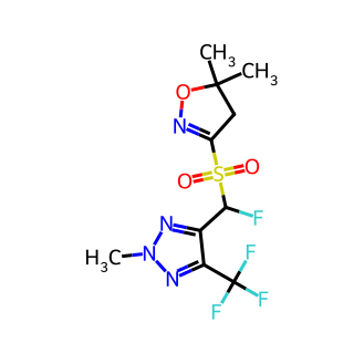 Cn1nc(C(F)S(=O)(=O)C2=NOC(C)(C)C2)c(C(F)(F)F)n1